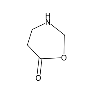 O=C1CCNCO1